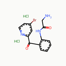 Cl.Cl.NCC(=O)Nc1ccccc1C(=O)c1cc(Br)ccn1